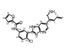 C=C/C=C(\CN)c1cnc2nc(-c3cc(NC(=O)c4ccco4)ccc3Cl)[nH]c2c1